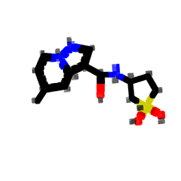 Cc1ccn2ncc(C(=O)NC3CCS(=O)(=O)C3)c2c1